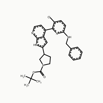 CC(C)(C)OC(=O)N1CCC(c2cc3c(-c4nc(NCc5ccccc5)ccc4Cl)ccnc3[nH]2)C1